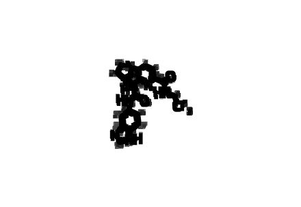 O=C(NCC(F)(F)F)c1ccc2c(n1)N(C(=O)Nc1ccc3[nH]cnc3c1)[C@H]1CCN2C1